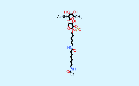 CCC(=O)NCCCCCCCC(=O)NCCCCCCOC1OCC(OC2OC(C)C(O)C(O)C2NC(C)=O)C(O)C1OS(=O)O